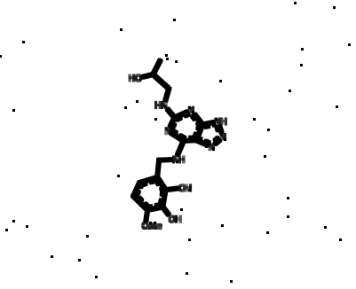 COc1ccc(CNc2nc(NCC(C)O)nc3[nH]nnc23)c(O)c1O